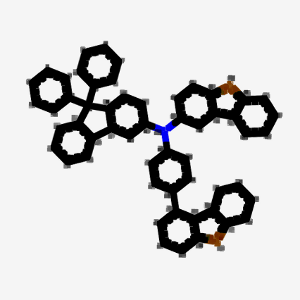 c1ccc(C2(c3ccccc3)c3ccccc3-c3cc(N(c4ccc(-c5cccc6sc7ccccc7c56)cc4)c4ccc5sc6ccccc6c5c4)ccc32)cc1